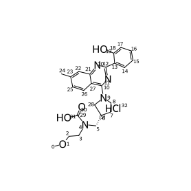 COCCN(C[C@H]1CCN(c2nc(-c3ccccc3O)nc3cc(C)ccc23)C1)C(=O)O.Cl